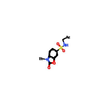 CCn1c(=O)oc2cc(S(=O)(=O)NCC(C)=O)ccc21